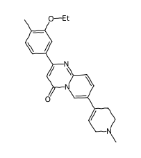 CCOc1cc(-c2cc(=O)n3cc(C4=CCN(C)CC4)ccc3n2)ccc1C